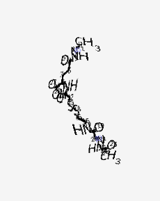 C/C=N/NC(=O)CCC(NC(=O)CSSCCNC(=O)/C=N/NC(C)=O)C(=O)O